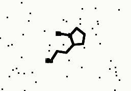 CCC(C)CCC1CCCN1CC